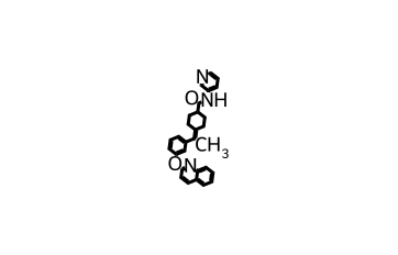 CC(=C1CCC(C(=O)Nc2cccnc2)CC1)c1cccc(Oc2ccc3ccccc3n2)c1